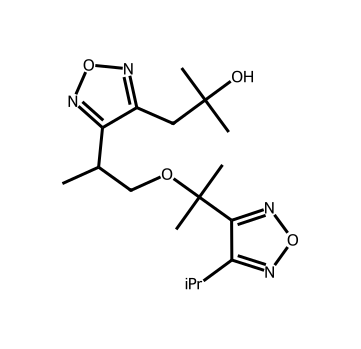 CC(C)c1nonc1C(C)(C)OCC(C)c1nonc1CC(C)(C)O